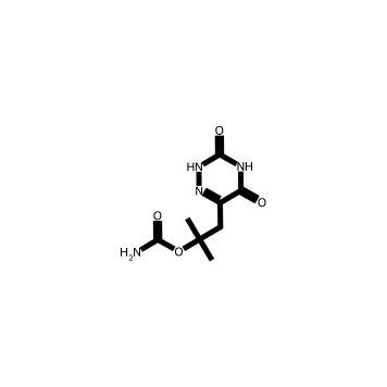 CC(C)(Cc1n[nH]c(=O)[nH]c1=O)OC(N)=O